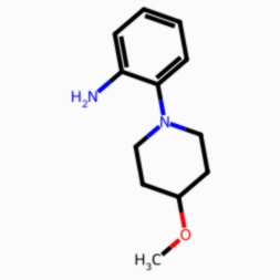 COC1CCN(c2ccccc2N)CC1